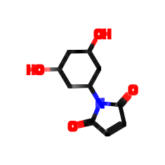 O=C1C=CC(=O)N1C1CC(O)CC(O)C1